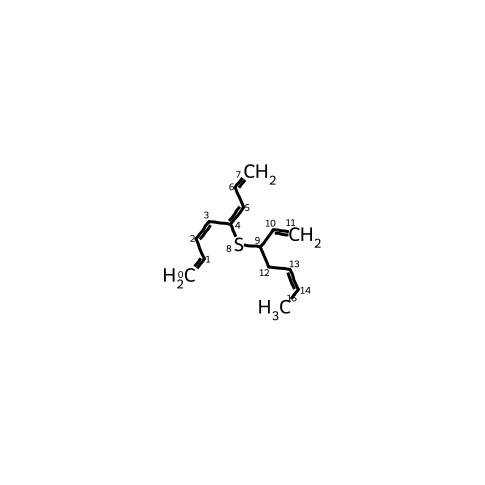 C=C/C=C\C(=C/C=C)SC(C=C)C/C=C\C